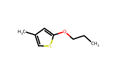 CCCOc1cc(C)cs1